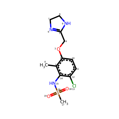 Cc1c(OCC2=NCCN2)ccc(Cl)c1NS(C)(=O)=O